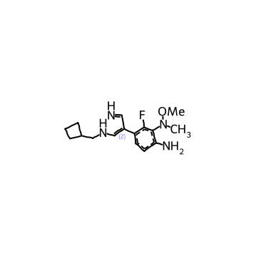 CON(C)c1c(N)ccc(/C(C=N)=C/NCC2CCC2)c1F